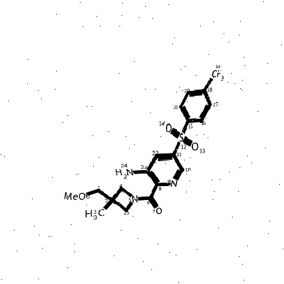 COCC1(C)CN(C(=O)c2ncc(S(=O)(=O)c3ccc(C(F)(F)F)cc3)cc2N)C1